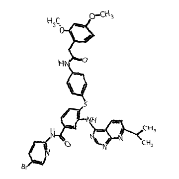 COc1ccc(CC(=O)Nc2ccc(Sc3ccc(C(=O)Nc4ccc(Br)cn4)cc3Nc3ncnc4nc(C(C)C)ccc34)cc2)c(OC)c1